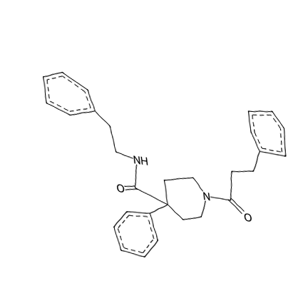 O=C(CCc1ccccc1)N1CCC(C(=O)NCCc2ccccc2)(c2ccccc2)CC1